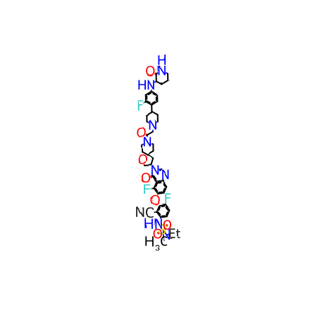 CCN(C)S(=O)(=O)Nc1ccc(F)c(Oc2ccc3ncn(C4COC5(CCN(C(=O)CN6CCC(c7ccc(NC8CCCNC8=O)cc7F)CC6)CC5)C4)c(=O)c3c2F)c1C#N